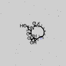 CN1CCCC/C=C/C2CC2(C(=O)O)NC(=O)C(CCO)NC1=O